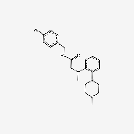 CC(CC(=O)NCc1ccc(Cl)cc1)c1ccccc1N1CCN(C)CC1